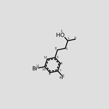 CC(O)C[CH]c1cc(F)cc(Br)c1